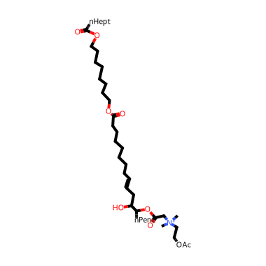 CCCCCCCC(=O)OCCCCCCCCOC(=O)CCCCCCCC=CCC(O)C(CCCCC)OC(=O)C[N+](C)(C)CCOC(C)=O